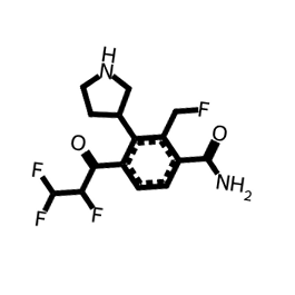 NC(=O)c1ccc(C(=O)C(F)C(F)F)c(C2CCNC2)c1CF